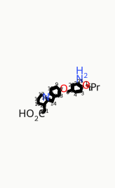 CC(C)Oc1ccc(COc2ccc3c(c2)cc2n3CCCC2CC(=O)O)cc1N